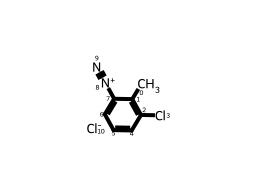 Cc1c(Cl)cccc1[N+]#N.[Cl-]